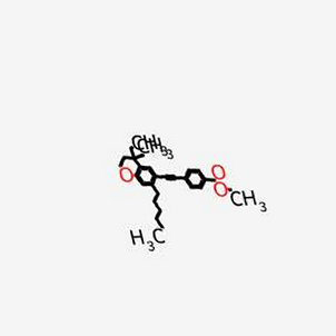 CCCCCCc1cc2c(cc1C#Cc1ccc(C(=O)OCC)cc1)C(CC)(CC)CCO2